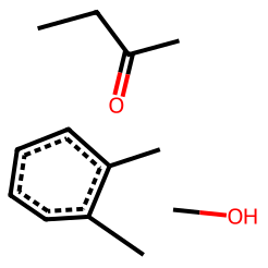 CCC(C)=O.CO.Cc1ccccc1C